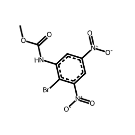 COC(=O)Nc1cc([N+](=O)[O-])cc([N+](=O)[O-])c1Br